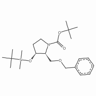 CC(C)(C)OC(=O)N1CC[C@H](O[Si](C)(C)C(C)(C)C)[C@@H]1COCc1ccccc1